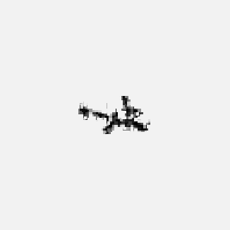 CC(C)(C)[C@H](c1cc(-c2cc(F)ccc2F)cn1Cc1ccccc1)N(CCCNC(=O)OCC[Si](C)(C)C)C(=O)CSC[C@H](NC(=O)CC[Si](C)(C)C)C(=O)NCCNC(=O)CCCCCN1C(=O)C=CC1=O